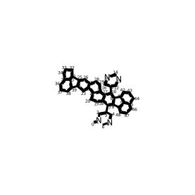 C=N/C=C(\C=N/C)c1c2c(c(-c3cncnc3)c3c1ccc1c4cc5c(cc4ccc13)-c1cccc3cccc-5c13)-c1cccc3cccc-2c13